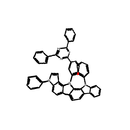 c1ccc(-c2nc(-c3ccccc3)nc(-c3cccc(-n4c5c(ccc6c5ccn6-c5ccccc5)c5ccc6c7ccccc7n(-c7ccccc7)c6c54)c3)n2)cc1